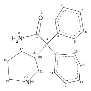 NC(=O)C(c1ccccc1)(c1ccccc1)[C@H]1CCCNC1